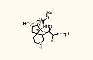 CCCCCCCC(CC)C(=O)O[C@]1(NC(=O)OC(C)(C)C)[C@@H](O)[C@@H](O)CC12CCNCC2